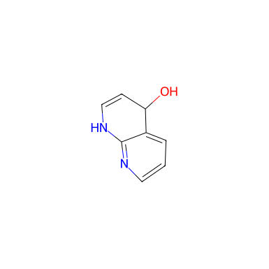 OC1C=CNc2ncccc21